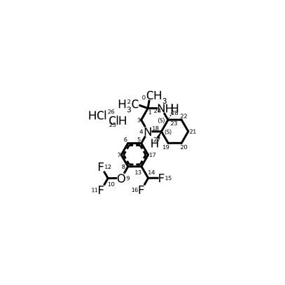 CC1(C)CN(c2ccc(OC(F)F)c(C(F)F)c2)[C@H]2CCCC[C@@H]2N1.Cl.Cl